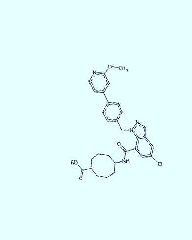 COc1cc(-c2ccc(Cn3ncc4cc(Cl)cc(C(=O)NC5CCCC(C(=O)O)CCC5)c43)cc2)ccn1